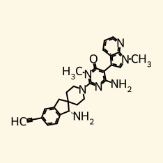 C#Cc1ccc2c(c1)CC1(CCN(c3nc(N)c(-c4cn(C)c5ncccc45)c(=O)n3C)CC1)[C@@H]2N